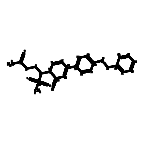 CS(=O)(=O)C(CCC(N)=O)n1ccc(-c2ccc(OCc3ccccn3)cc2)cc1=O